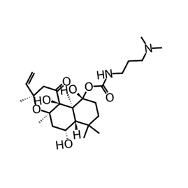 C=C[C@@]1(C)CC(=O)[C@]2(O)[C@]3(C)[C@@H]([C@H](O)C[C@@]2(C)O1)C(C)(C)CC[C@@]3(O)OC(=O)NCCCN(C)C